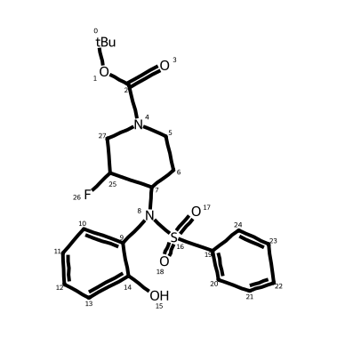 CC(C)(C)OC(=O)N1CCC(N(c2ccccc2O)S(=O)(=O)c2ccccc2)C(F)C1